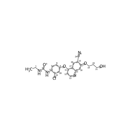 CCNC(=O)Nc1ccc(Oc2ccnc3cc(OCCCO)c(C#N)cc23)cc1Cl